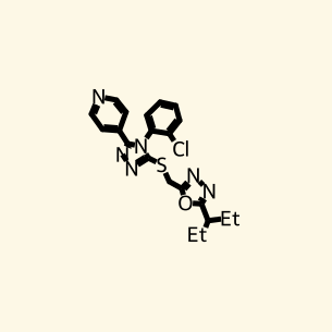 CCC(CC)c1nnc(CSc2nnc(-c3ccncc3)n2-c2ccccc2Cl)o1